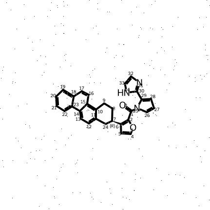 O=C(c1occc1[C@@H]1CCc2c(ccc3c2ccc2ccccc23)C1)n1cccc1-c1ncc[nH]1